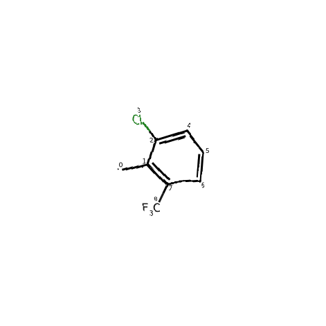 [CH2]c1c(Cl)cccc1C(F)(F)F